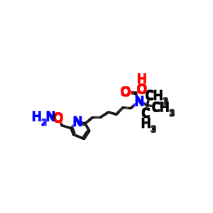 CC(C)(C)N(CCCCCCc1cccc(CON)n1)C(=O)O